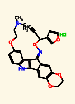 C#CC(ON=C1c2cc3c(cc2-c2[nH]c4ccc(OCCN(C)C)cc4c21)OCCO3)c1ccoc1.Cl